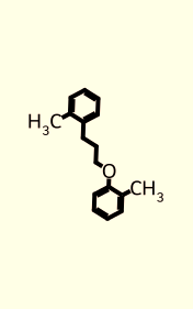 Cc1ccccc1CCCOc1ccccc1C